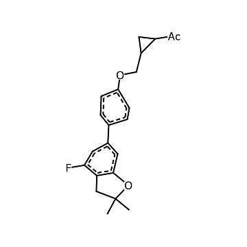 CC(=O)C1CC1COc1ccc(-c2cc(F)c3c(c2)OC(C)(C)C3)cc1